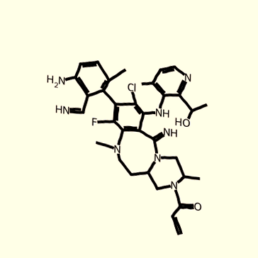 C=CC(=O)N1CC2CCN(C)c3c(F)c(-c4c(C)ccc(N)c4C=N)c(Cl)c(Nc4c(C)ccnc4C(C)O)c3C(=N)N2CC1C